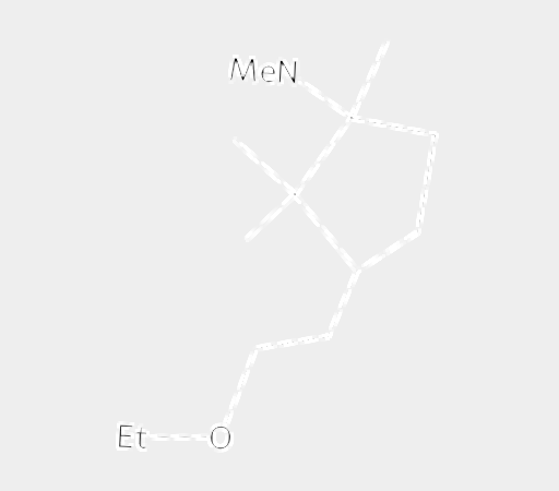 CCOCCC1CCC(C)(NC)C1(C)C